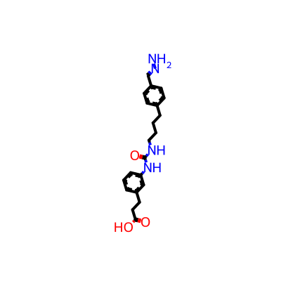 NN=Cc1ccc(CCCCNC(=O)Nc2cccc(CCC(=O)O)c2)cc1